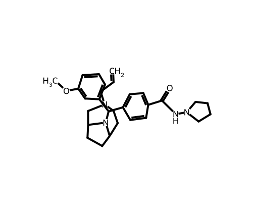 C=CCN1CCC2CCC(C1)N2C(c1ccc(C(=O)NN2CCCC2)cc1)c1cccc(OC)c1